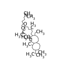 CCC(C)CCC1(CCC(C)CCC2C(C)CCC3C(C)CCC(C(C)C)C(C)CCCC3CCCC2CC)OCC(CCCN(C)C)O1